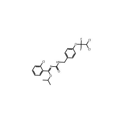 CC(C)OC(=NC(=O)NCc1ccc(OC(F)(F)C(Cl)Cl)cc1)c1ccccc1Cl